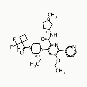 CCOc1cc(N2CCN(C(=O)C3(C(F)(F)F)CCC3)C[C@H]2CC)c(C(=O)N[C@@H]2CCN(C)C2)nc1-c1cccnc1